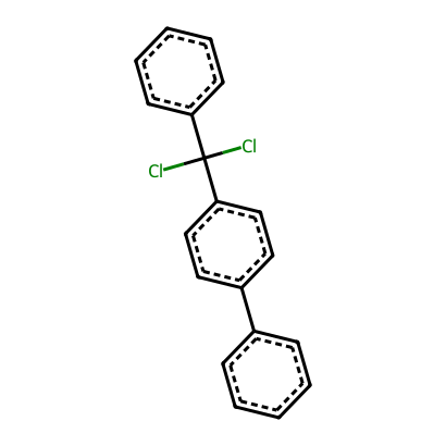 ClC(Cl)(c1ccccc1)c1ccc(-c2ccccc2)cc1